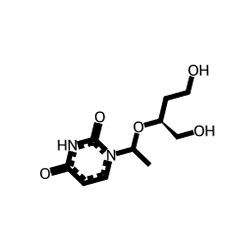 CC(O[C@H](CO)CCO)n1ccc(=O)[nH]c1=O